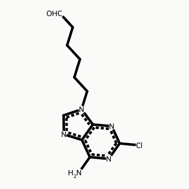 Nc1nc(Cl)nc2c1ncn2CCCCCC=O